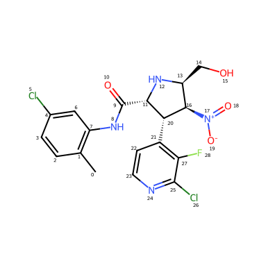 Cc1ccc(Cl)cc1NC(=O)[C@@H]1N[C@@H](CO)[C@@H]([N+](=O)[O-])[C@@H]1c1ccnc(Cl)c1F